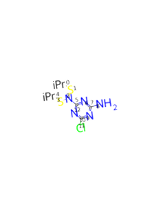 CC(C)SN(SC(C)C)c1nc(N)nc(Cl)n1